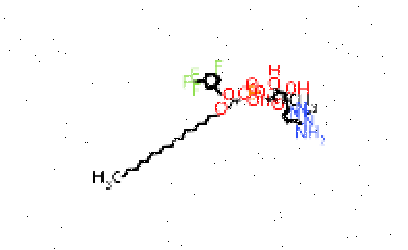 CCCCCCCCCCCCCCCCCCOC[C@H](COP(=O)(O)OC[C@H]1O[C@@](C)(c2ccc3c(N)ncnn23)[C@H](O)[C@@H]1O)OCc1cc(F)cc(C(F)(F)F)c1